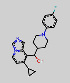 OC(c1c(C2CC2)ccn2cncc12)C1CCN(c2ccc(F)cc2)CC1